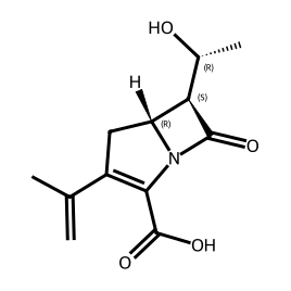 C=C(C)C1=C(C(=O)O)N2C(=O)[C@H]([C@@H](C)O)[C@H]2C1